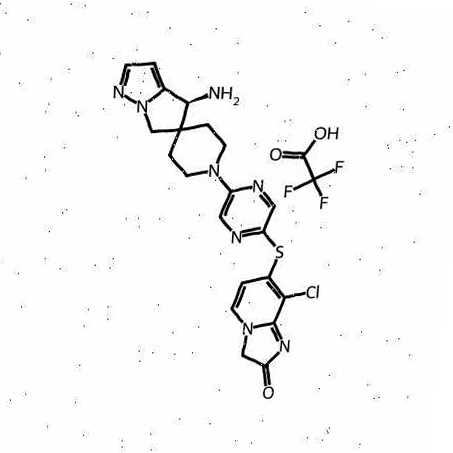 N[C@@H]1c2ccnn2CC12CCN(c1cnc(SC3=C(Cl)C4=NC(=O)CN4C=C3)cn1)CC2.O=C(O)C(F)(F)F